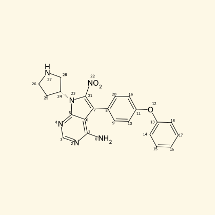 Nc1ncnc2c1c(-c1ccc(Oc3ccccc3)cc1)c([N+](=O)[O-])n2[C@@H]1CCNC1